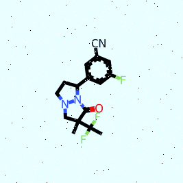 CC(F)(F)C1(C)CN2CCC(c3cc(F)cc(C#N)c3)N2C1=O